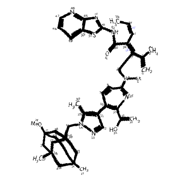 C=C(C)/C(CN(CC)c1ccc(-c2cnn(CC34CC5(C)CC(C)(C3)CC(OC)(C5)C4)c2C)c(C(=C)O)n1)=C(\C=C/C)C(=O)Nc1nc2ncccc2s1